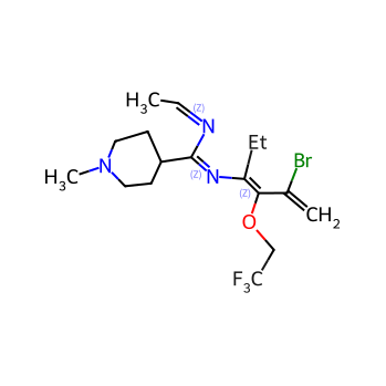 C=C(Br)/C(OCC(F)(F)F)=C(CC)/N=C(\N=C/C)C1CCN(C)CC1